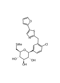 CSC[C@H]1O[C@@H](c2ccc(Cl)c(Cc3ncc(-c4ccco4)s3)c2)[C@H](O)[C@@H](O)[C@@H]1O